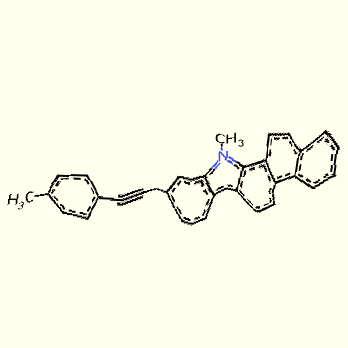 Cc1ccc(C#Cc2ccc3c4ccc5c6ccccc6ccc5c4n(C)c3c2)cc1